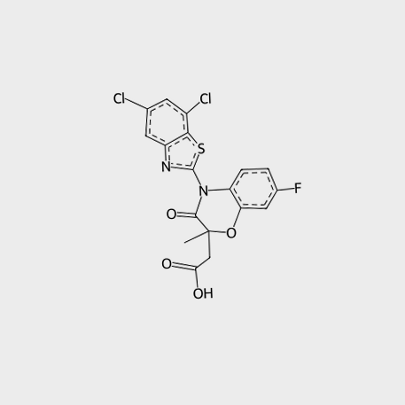 CC1(CC(=O)O)Oc2cc(F)ccc2N(c2nc3cc(Cl)cc(Cl)c3s2)C1=O